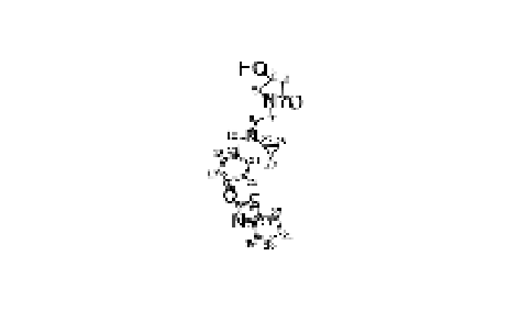 O=C1CC(O)CN1CCN(Cc1ccc(Oc2nc3ccccc3s2)cc1)C1CC1